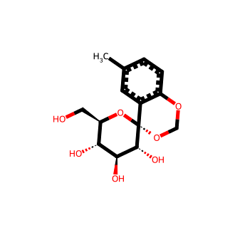 Cc1ccc2c(c1)[C@]1(OCO2)O[C@H](CO)[C@@H](O)[C@H](O)[C@H]1O